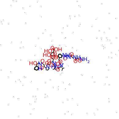 CC[C@H](C)[C@@H]([C@@H](CC(=O)N1CCC[C@H]1[C@H](OC)[C@@H](C)C(=O)N[C@H](C)[C@@H](O)c1ccccc1)OC)N(C)C(=O)[C@@H](NC(=O)[C@H](C(C)C)N(C)C(=O)OCc1cc(NC(=O)CNC(=O)CNC(=O)CON)ccc1OC1OC(C(=O)O)C(O)C(O)C1O)C(C)C